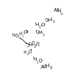 O.O.O.O.O.O.O=S(=O)(O)O.[AlH3].[AlH3]